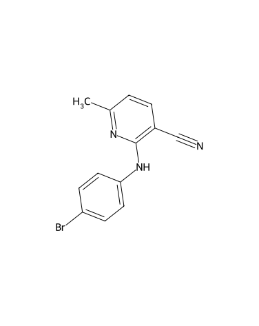 Cc1ccc(C#N)c(Nc2ccc(Br)cc2)n1